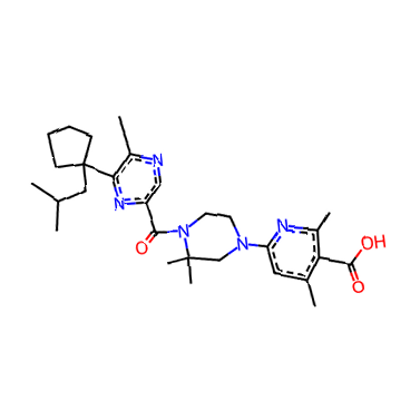 Cc1cc(N2CCN(C(=O)c3cnc(C)c(C4(CC(C)C)CCCC4)n3)C(C)(C)C2)nc(C)c1C(=O)O